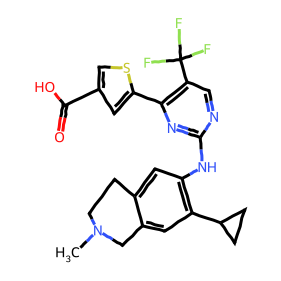 CN1CCc2cc(Nc3ncc(C(F)(F)F)c(-c4cc(C(=O)O)cs4)n3)c(C3CC3)cc2C1